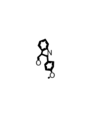 COc1ccc(C2=Nc3ccccc3C2C=O)cc1